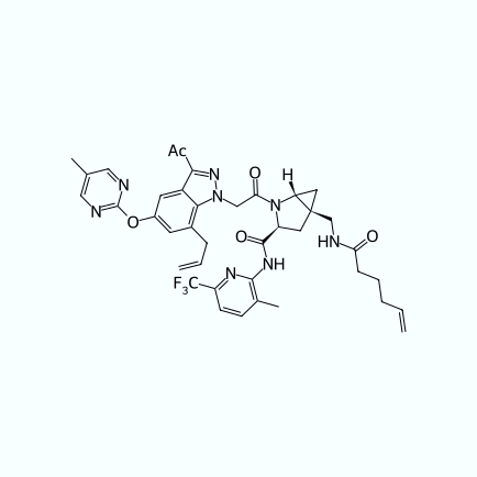 C=CCCCC(=O)NC[C@@]12C[C@@H](C(=O)Nc3nc(C(F)(F)F)ccc3C)N(C(=O)Cn3nc(C(C)=O)c4cc(Oc5ncc(C)cn5)cc(CC=C)c43)[C@@H]1C2